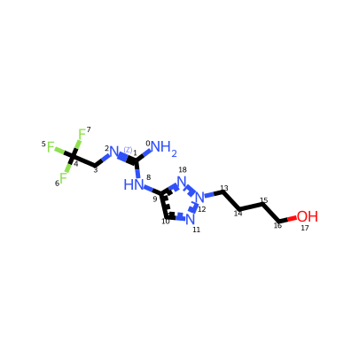 N/C(=N/CC(F)(F)F)Nc1cnn(CCCCO)n1